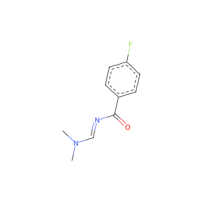 CN(C)C=NC(=O)c1ccc(F)cc1